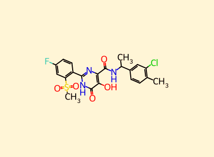 Cc1ccc(C(C)NC(=O)c2nc(-c3ccc(F)cc3S(C)(=O)=O)[nH]c(=O)c2O)cc1Cl